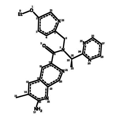 CCOc1ccc(CN(C(=O)c2cc3cc(C)c(N)nc3cn2)[C@H](C)c2ncccn2)nc1